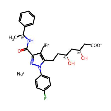 CC(C)c1c(C(=O)N[C@@H](C)c2ccccc2)nn(-c2ccc(F)cc2)c1CC[C@@H](O)C[C@@H](O)CC(=O)[O-].[Na+]